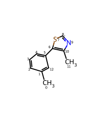 Cc1cccc(-c2s[c]nc2C)c1